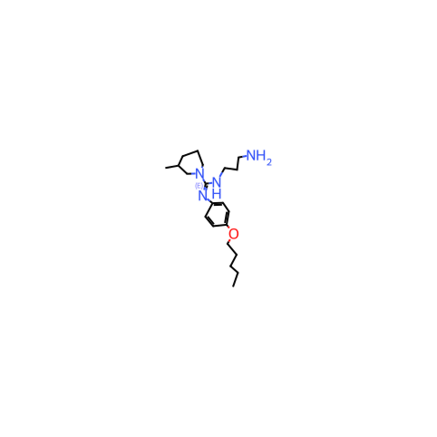 CCCCCOc1ccc(/N=C(\NCCCN)N2CCCC(C)C2)cc1